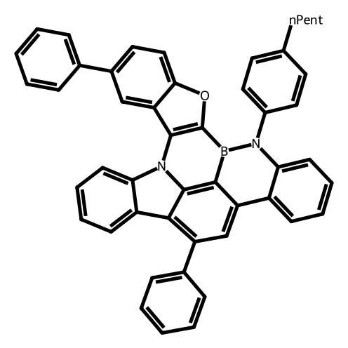 CCCCCc1ccc(N2B3c4oc5ccc(-c6ccccc6)cc5c4-n4c5ccccc5c5c(-c6ccccc6)cc(c3c54)-c3ccccc32)cc1